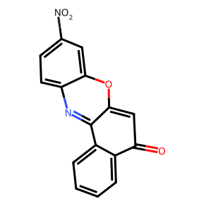 O=c1cc2oc3cc([N+](=O)[O-])ccc3nc-2c2ccccc12